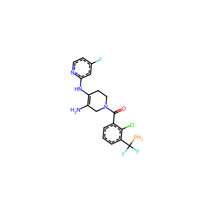 NC1=C(Nc2cc(F)ccn2)CCN(C(=O)c2cccc(C(F)(F)P)c2Cl)C1